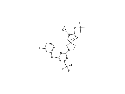 CC(C)(C)OC(=O)N(CC1(O)CCN(c2nc(Oc3cccc(F)c3)cc(C(F)(F)F)n2)C1)C1CC1